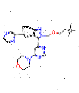 C[Si](C)(C)CCOCn1nc2ccc(-c3cnccn3)cc2c1-c1cc(N2CCOCC2)ncn1